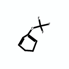 FC(F)(F)OC1=C[CH]CC=C1